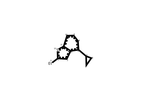 CCc1cc2c(C3CC3)cccc2s1